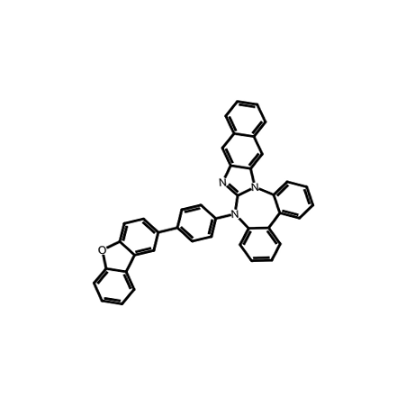 c1ccc2c(c1)-c1ccccc1-n1c(nc3cc4ccccc4cc31)N2c1ccc(-c2ccc3oc4ccccc4c3c2)cc1